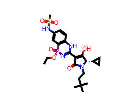 CCOP1(=O)N=C(C2=C(O)[C@H](C3CC3)N(CCC(C)(C)C)C2=O)Nc2ccc(NS(C)(=O)=O)cc21